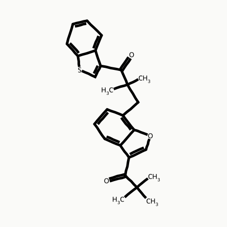 CC(C)(C)C(=O)c1coc2c(CC(C)(C)C(=O)c3csc4ccccc34)cccc12